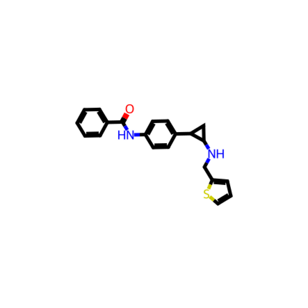 O=C(Nc1ccc(C2CC2NCc2cccs2)cc1)c1ccccc1